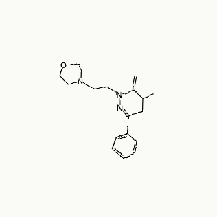 C=C1C(C)CC(c2ccccc2)=NN1CCN1CCOCC1